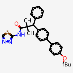 CCCCOc1ccc(-c2ccc(C(c3ccccc3)C(C)(C)C(=O)Nc3nncs3)cc2)cc1